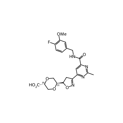 COc1cc(CNC(=O)c2cc(C3=NOC([C@@H]4CO[C@@H](C(=O)O)CO4)C3)nc(C)n2)ccc1F